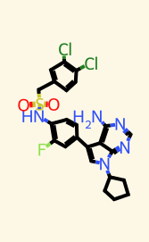 Nc1ncnc2c1c(-c1ccc(NS(=O)(=O)Cc3ccc(Cl)c(Cl)c3)c(F)c1)cn2C1CCCC1